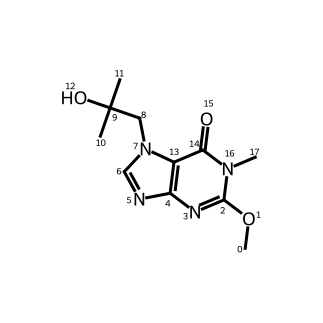 COc1nc2ncn(CC(C)(C)O)c2c(=O)n1C